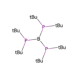 CC(C)(C)P(B(P(C(C)(C)C)C(C)(C)C)P(C(C)(C)C)C(C)(C)C)C(C)(C)C